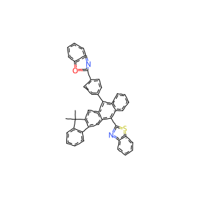 CC1(C)c2ccccc2-c2cc3c(-c4nc5ccccc5s4)c4ccccc4c(-c4ccc(-c5nc6ccccc6o5)cc4)c3cc21